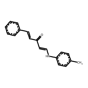 Cc1ccc(NC=CC(=O)C=Cc2ccccc2)cc1